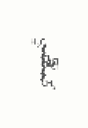 [CH2]CCCCCCCCCCC.[Cl][Zr]([Cl])([Cl])[Cl]